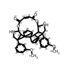 COc1cccc(C23CNC4OC(=O)/C=C\C(=O)OC5NCC6(c7cccc(OC)c7)C5C5C=CC6C56C(C=CC26)C43)c1